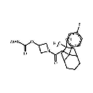 CNC(=O)OC1CN(C(=O)CC2(c3ccc(F)cc3)C3CCCC2CC(C)(O)C3)C1